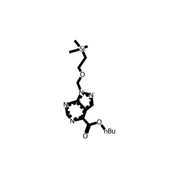 CCCCOC(=O)c1ncnc2c1cnn2COCC[Si](C)(C)C